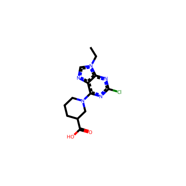 CCn1cnc2c(N3CCCC(C(=O)O)C3)nc(Cl)nc21